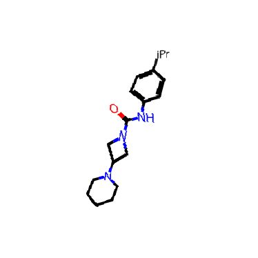 CC(C)c1ccc(NC(=O)N2CC(N3CCCCC3)C2)cc1